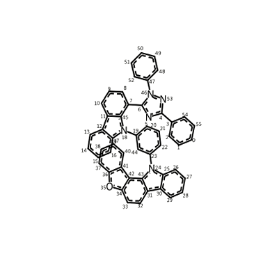 c1ccc(-c2nc(-c3cccc4c5ccccc5n(-c5cccc(-n6c7ccccc7c7ccc8oc9ccccc9c8c76)c5)c34)n(-c3ccccc3)n2)cc1